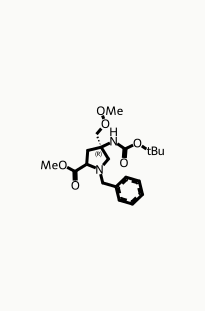 COOC[C@@]1(NC(=O)OC(C)(C)C)CC(C(=O)OC)N(Cc2ccccc2)C1